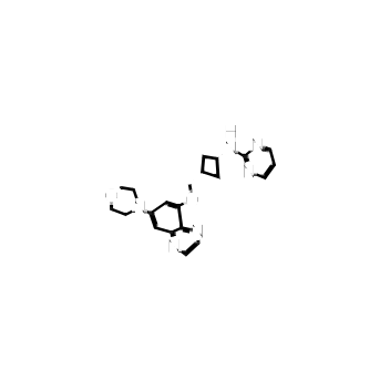 c1cnc(N[C@H]2C[C@@H](COc3cc(N4CCOCC4)cc4nccnc34)C2)nc1